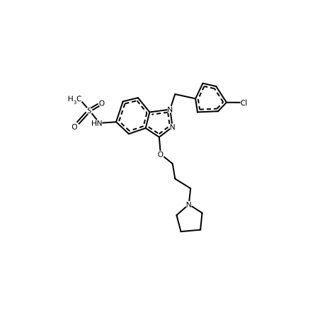 CS(=O)(=O)Nc1ccc2c(c1)c(OCCCN1CCCC1)nn2Cc1ccc(Cl)cc1